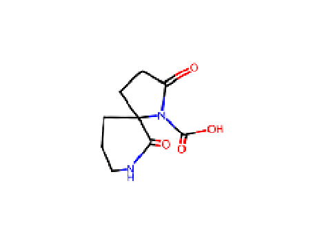 O=C(O)N1C(=O)CCC12CCCNC2=O